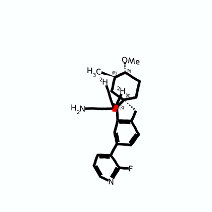 [2H]C1([2H])OC(N)=N[C@]12c1cc(-c3cccnc3F)ccc1C[C@]21CC[C@@H](OC)[C@H](C)C1